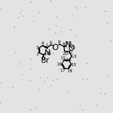 Brc1cccc(COCC2=NOC(Cc3ccccc3)C2)n1